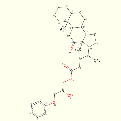 CC(CCC(=O)OCC(O)COc1ccccc1)C1CCC2C3CCC4CCCCC4(C)C3CC(=O)C12C